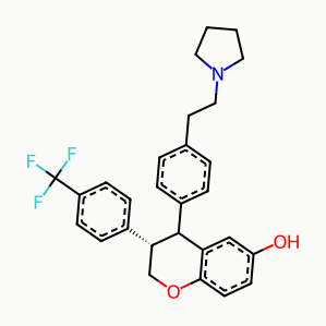 Oc1ccc2c(c1)C(c1ccc(CCN3CCCC3)cc1)[C@@H](c1ccc(C(F)(F)F)cc1)CO2